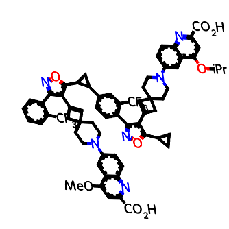 COc1cc(C(=O)O)nc2ccc(N3CCC4(C=C(c5c(-c6ccccc6C(F)(F)F)noc5C5CC5c5ccc(-c6noc(C7CC7)c6C6=CC7(CCN(c8ccc9nc(C(=O)O)cc(OC(C)C)c9c8)CC7)C6)c(C(F)(F)F)c5)C4)CC3)cc12